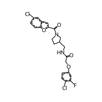 O=C(COc1ccc(Cl)c(F)c1)NCC1CCN(C(=O)c2cc3cc(Cl)ccc3o2)C1